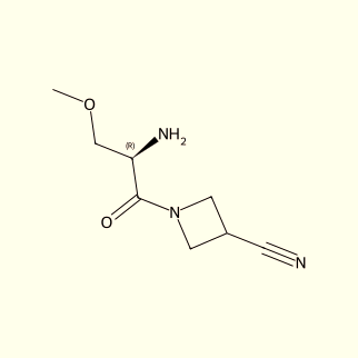 COC[C@@H](N)C(=O)N1CC(C#N)C1